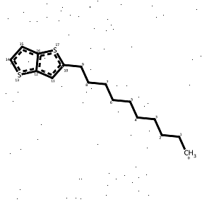 CCCCCCCCCCc1cc2sccc2s1